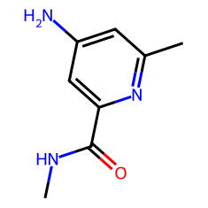 CNC(=O)c1cc(N)cc(C)n1